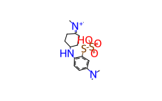 CN(C)c1ccc(NC2CCC(=[N+](C)C)CC2)c(SS(=O)(=O)O)c1